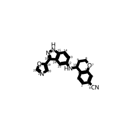 N#Cc1ccc2c(c1)OCCC2Nc1ccc2[nH]nc(-c3cnco3)c2c1